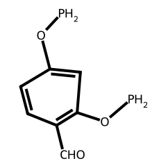 O=Cc1ccc(OP)cc1OP